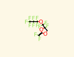 FC(F)=C1OCC(F)(C(F)(F)OC(F)(F)C(F)(F)C(F)(F)F)O1